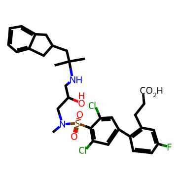 CN(CC(O)CNC(C)(C)CC1Cc2ccccc2C1)S(=O)(=O)c1c(Cl)cc(-c2ccc(F)cc2CCC(=O)O)cc1Cl